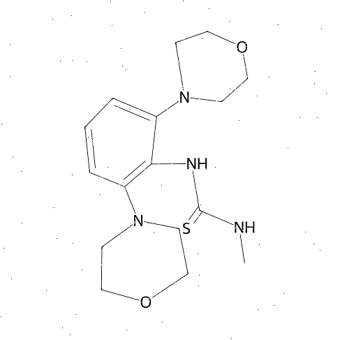 CNC(=S)Nc1c(N2CCOCC2)cccc1N1CCOCC1